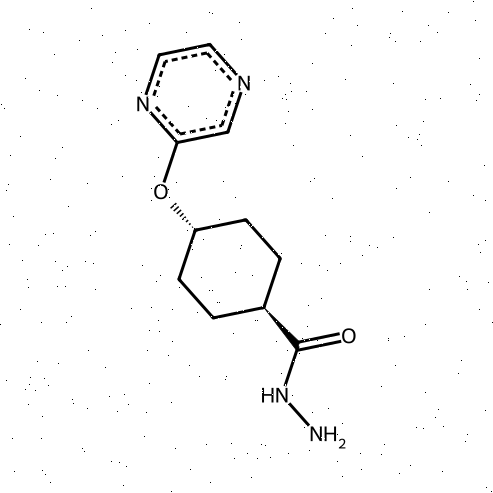 NNC(=O)[C@H]1CC[C@H](Oc2cnccn2)CC1